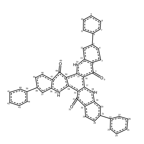 O=c1c2ccc(-c3ccccc3)cc2[nH]c2c1c1[nH]c3cc(-c4ccccc4)ccc3c(=O)c1c1[nH]c3cc(-c4ccccc4)ccc3c(=O)c21